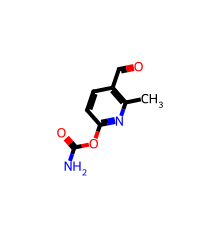 Cc1nc(OC(N)=O)ccc1C=O